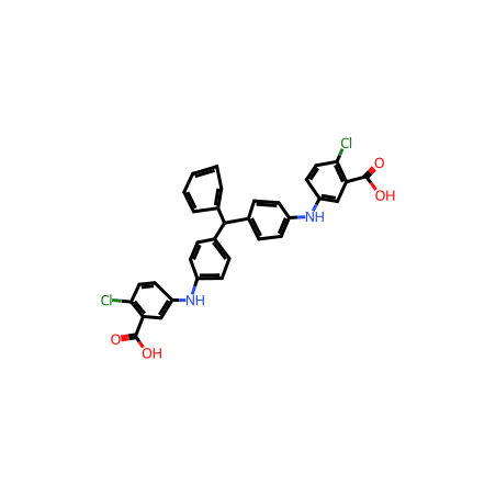 O=C(O)c1cc(Nc2ccc(C(c3ccccc3)c3ccc(Nc4ccc(Cl)c(C(=O)O)c4)cc3)cc2)ccc1Cl